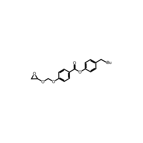 CCC(C)Cc1ccc(OC(=O)c2ccc(OCOC3CO3)cc2)cc1